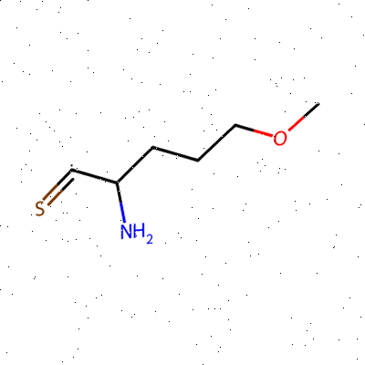 COCCCC(N)[C]=S